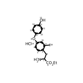 CCOC(=O)C(N)Cc1ccc(Oc2ccc(O)cc2)cc1I.Cl